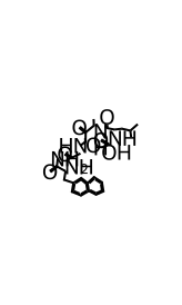 CC(C)CC(NC(=O)O)C(=O)NC(C)C(=O)C(=O)NCC(=O)NC(Cc1ccc2ccccc2c1)C(N)=O